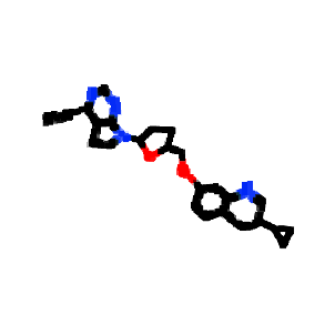 CNc1ncnc2c1ccn2C1CCC(COc2ccc3cc(C4CC4)cnc3c2)O1